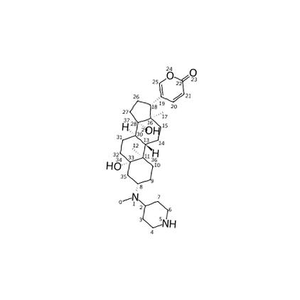 CN(C1CCNCC1)[C@H]1CC[C@]2(C)[C@H]3CC[C@]4(C)[C@@H](c5ccc(=O)oc5)CC[C@]4(O)[C@@H]3CC[C@]2(O)C1